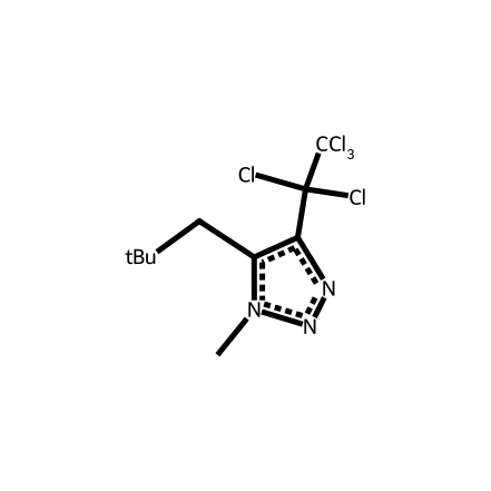 Cn1nnc(C(Cl)(Cl)C(Cl)(Cl)Cl)c1CC(C)(C)C